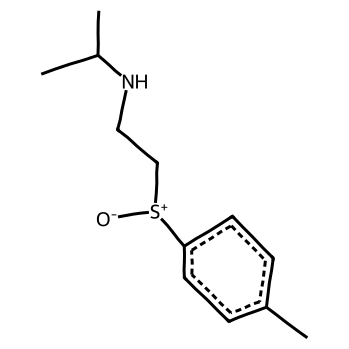 Cc1ccc([S+]([O-])CCNC(C)C)cc1